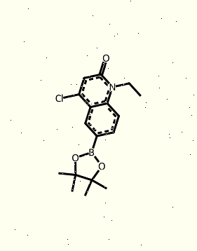 CCn1c(=O)cc(Cl)c2cc(B3OC(C)(C)C(C)(C)O3)ccc21